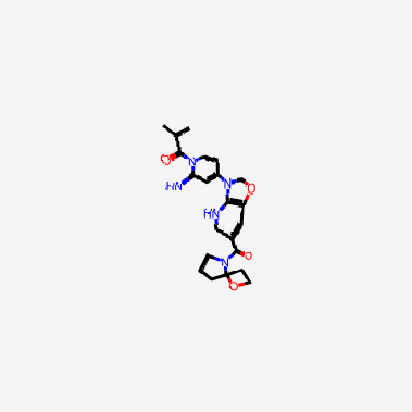 CC(C)C(=O)n1ccc(N2COC3=C2NCC(C(=O)N2CCCC24CCO4)=C3)cc1=N